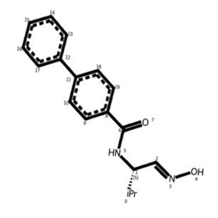 CC(C)[C@@H](C=NO)NC(=O)c1ccc(-c2ccccc2)cc1